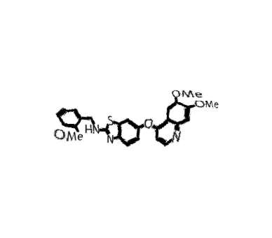 COc1ccccc1CNc1nc2ccc(Oc3ccnc4cc(OC)c(OC)cc34)cc2s1